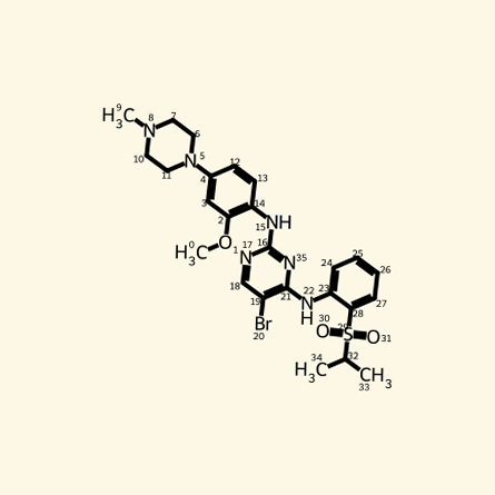 COc1cc(N2CCN(C)CC2)ccc1Nc1ncc(Br)c(Nc2ccccc2S(=O)(=O)C(C)C)n1